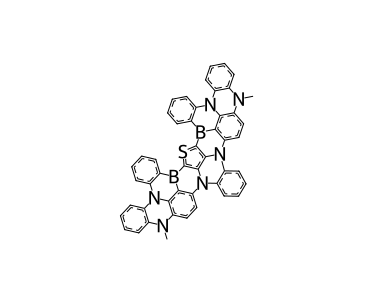 CN1c2ccccc2N2c3ccccc3B3c4sc5c6c4N(c4ccccc4N6c4ccc6c7c4B5c4ccccc4N7c4ccccc4N6C)c4ccc1c2c43